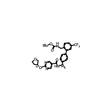 C[C@@H](NC(=O)c1cnc(O[C@H]2CCOC2)nc1)c1ccc(-c2cc(C(F)(F)F)ccc2CNC(=O)OC(C)(C)C)cc1